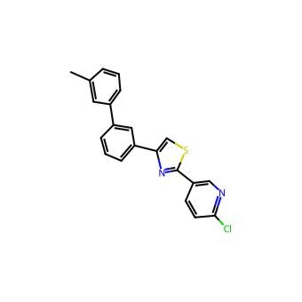 Cc1cccc(-c2cccc(-c3csc(-c4ccc(Cl)nc4)n3)c2)c1